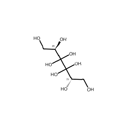 OC[C@@H](O)C(O)(O)C(O)(O)[C@@H](O)CO